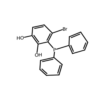 Oc1ccc(Br)c(P(c2ccccc2)c2ccccc2)c1O